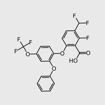 O=C(O)c1c(Oc2ccc(OC(F)(F)F)cc2Oc2ccccc2)ccc(C(F)F)c1F